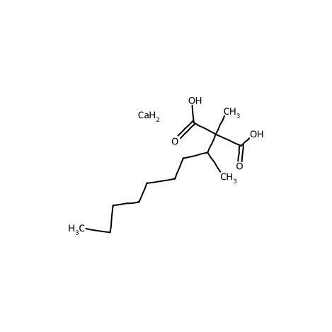 CCCCCCCC(C)C(C)(C(=O)O)C(=O)O.[CaH2]